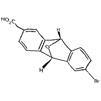 O=C(O)c1ccc2c(c1)[C@H]1O[C@@H]2c2cc(Br)ccc21